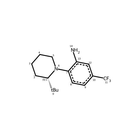 CC(C)(C)[C@@H]1[CH]CCCN1c1ccc(C(F)(F)F)cc1N